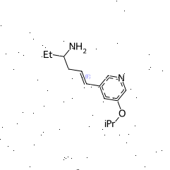 CCC(N)C/C=C/c1cncc(OC(C)C)c1